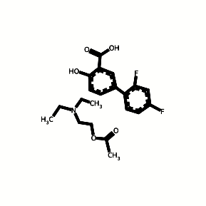 CCN(CC)CCOC(C)=O.O=C(O)c1cc(-c2ccc(F)cc2F)ccc1O